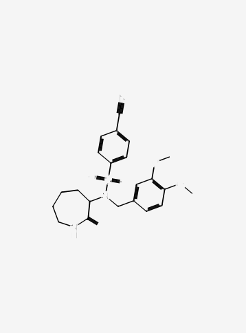 COc1ccc(CN(C2CCCCNC2=O)S(=O)(=O)c2ccc(C#N)cc2)cc1OC